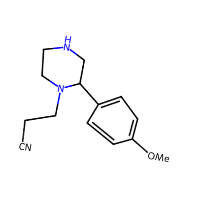 COc1ccc(C2CNCCN2CCC#N)cc1